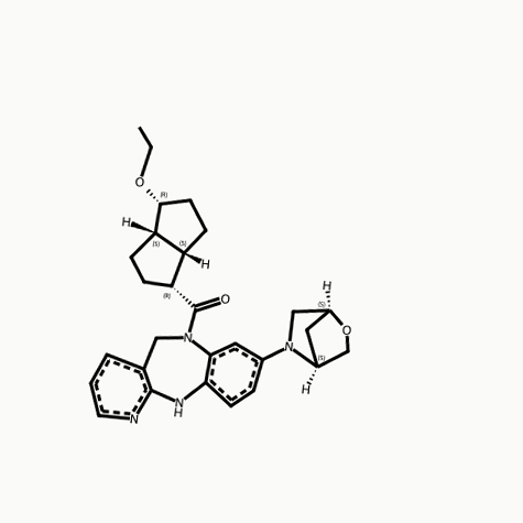 CCO[C@@H]1CC[C@H]2[C@@H]1CC[C@H]2C(=O)N1Cc2cccnc2Nc2ccc(N3C[C@@H]4C[C@H]3CO4)cc21